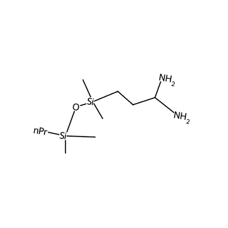 CCC[Si](C)(C)O[Si](C)(C)CCC(N)N